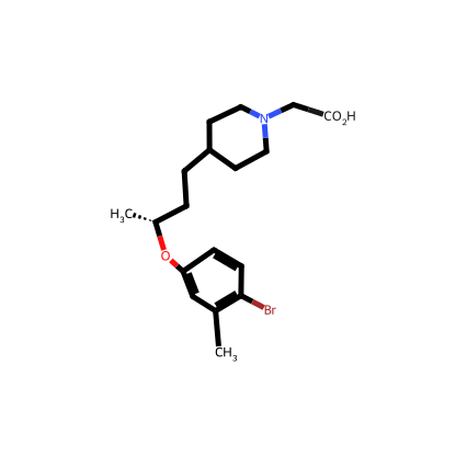 Cc1cc(O[C@H](C)CCC2CCN(CC(=O)O)CC2)ccc1Br